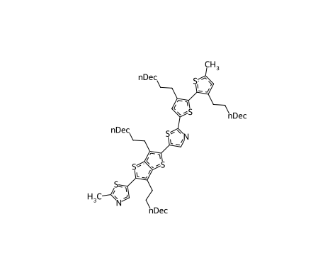 CCCCCCCCCCCCc1cc(C)sc1-c1sc(-c2ncc(-c3sc4c(CCCCCCCCCCCC)c(-c5cnc(C)s5)sc4c3CCCCCCCCCCCC)s2)cc1CCCCCCCCCCCC